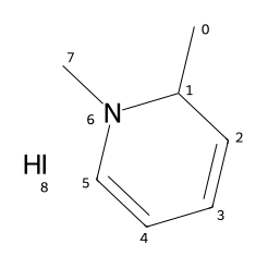 CC1C=CC=CN1C.I